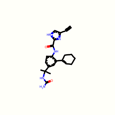 C#Cc1c[nH]c(C(=O)Nc2ccc(C(C)(C)NC(N)=O)cc2C2=CCCCC2)n1